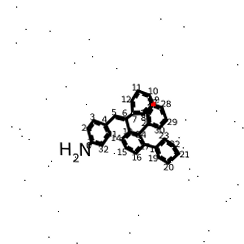 Nc1ccc(C=C(c2ccccc2)c2cccc(-c3ccccc3)c2-c2ccccc2)cc1